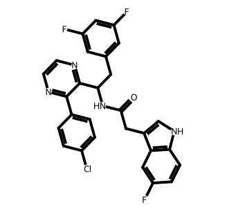 O=C(Cc1c[nH]c2ccc(F)cc12)NC(Cc1cc(F)cc(F)c1)c1nccnc1-c1ccc(Cl)cc1